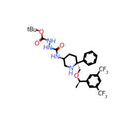 C[C@@H](OC[C@@]1(c2ccccc2)CCC(NC(=O)NNC(=O)OC(C)(C)C)CN1)c1cc(C(F)(F)F)cc(C(F)(F)F)c1